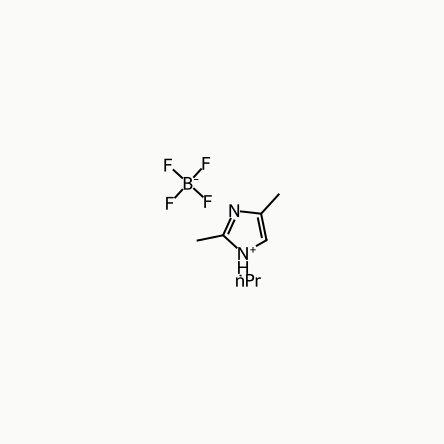 CCC[NH+]1C=C(C)N=C1C.F[B-](F)(F)F